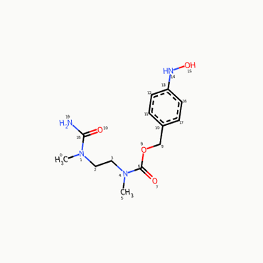 CN(CCN(C)C(=O)OCc1ccc(NO)cc1)C(N)=O